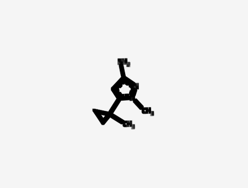 Cn1nc(N)cc1C1(C)CC1